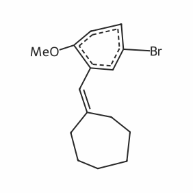 COc1ccc(Br)cc1C=C1CCCCCC1